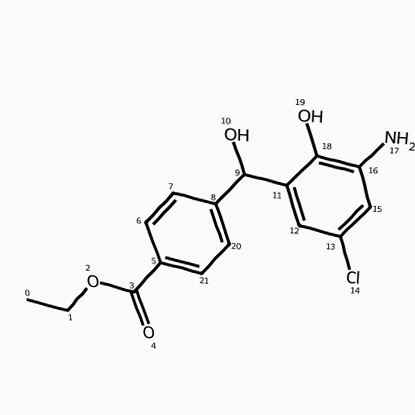 CCOC(=O)c1ccc(C(O)c2cc(Cl)cc(N)c2O)cc1